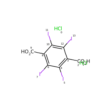 Cl.Cl.O=C(O)c1c(I)c(I)c(C(=O)O)c(I)c1I